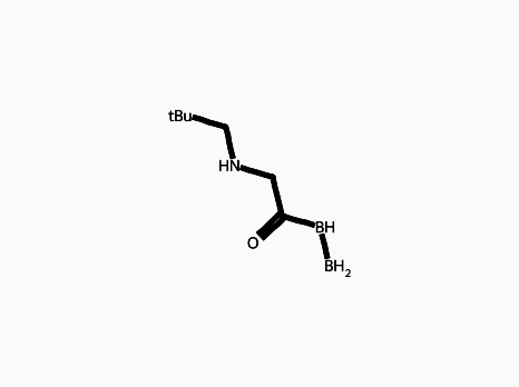 BBC(=O)CNCC(C)(C)C